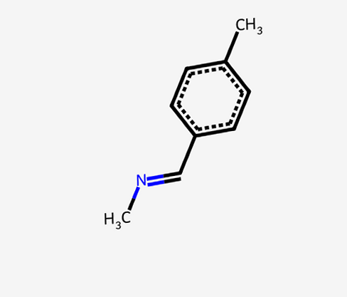 CN=Cc1ccc(C)cc1